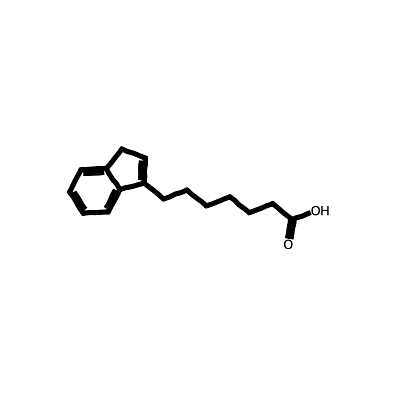 O=C(O)CCCCCCC1=CCc2ccccc21